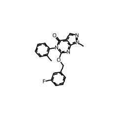 Cc1ccccc1-n1c(OCc2cccc(F)c2)nc2c(cnn2C)c1=O